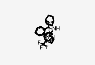 O=C(c1ccccc1-n1nccn1)N1C2CCC1C(Nc1ccc(C(F)(F)F)nn1)C2